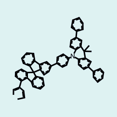 C/C=C\C(=C/C)c1cccc2c1-c1ccccc1C21c2ccccc2-c2cc(-c3ccc(N4c5ccc(-c6ccccc6)cc5C(C)(C)c5cc(-c6ccccc6)ccc54)cc3)ccc21